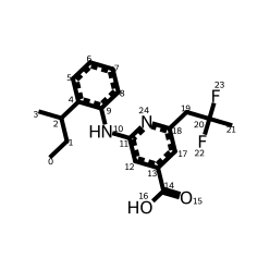 CCC(C)c1ccccc1Nc1cc(C(=O)O)cc(CC(C)(F)F)n1